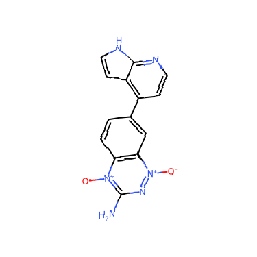 Nc1n[n+]([O-])c2cc(-c3ccnc4[nH]ccc34)ccc2[n+]1[O-]